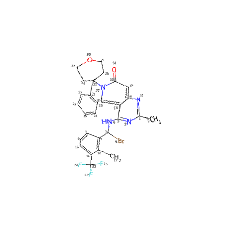 Cc1nc(NC(Br)c2cccc(C(F)(F)F)c2C)c2cn(C3(c4ccccc4)CCOCC3)c(=O)cc2n1